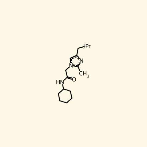 Cc1nc(CC(C)C)cn1CC(=O)NC1CCCCC1